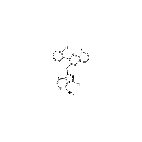 Cc1cccc2cc(Cn3cc(Cl)c4c(N)ncnc43)c(-c3ccccc3Cl)nc12